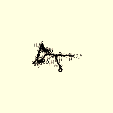 CC[C@@]1(O)C(=O)OCc2c1cc1n(c2=O)Cc2c-1nc1cc(F)c(C)c3c1c2[C@@H](NC(=O)OCc1ccc(NC(=O)[C@H](CCCNC(N)=O)NC(=O)[C@@H](NC(=O)[C@H](CCC(=O)O)NC(=O)CCOCCOCCNC(=O)CCOCC(COCCC(=O)NCCOCCOCCC(=O)NCCCC(=O)O)NC(=O)CCOCCOCCNC(=O)COC2C#CCCCCC2)C(C)C)cc1)CC3